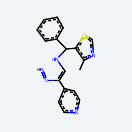 Cc1ncsc1C(N/C=C(\N=N)c1ccncc1)c1ccccc1